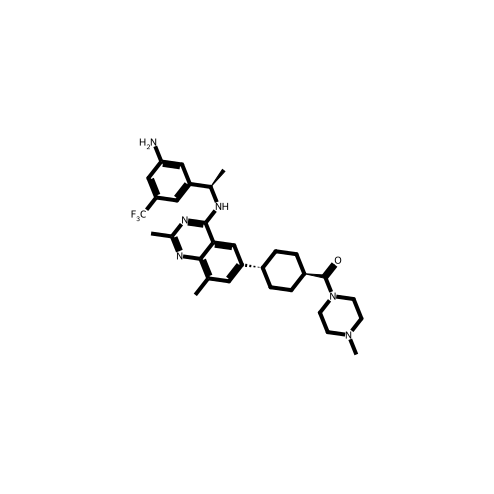 Cc1nc(N[C@H](C)c2cc(N)cc(C(F)(F)F)c2)c2cc([C@H]3CC[C@H](C(=O)N4CCN(C)CC4)CC3)cc(C)c2n1